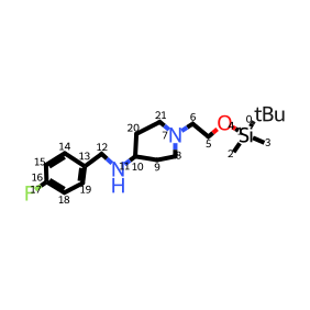 CC(C)(C)[Si](C)(C)OCCN1CCC(NCc2ccc(F)cc2)CC1